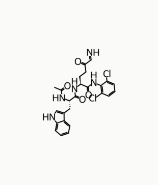 CC(=O)N[C@@H](Cc1c[nH]c2ccccc12)C(=O)N[C@@H](CCC(=O)C=N)C(=O)Nc1c(Cl)cccc1Cl